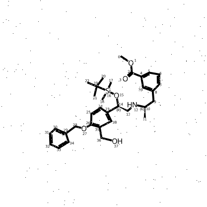 COC(=O)c1cccc(C[C@@H](C)NC[C@H](O[Si](C)(C)C(C)(C)C)c2ccc(OCc3ccccc3)c(CO)c2)c1